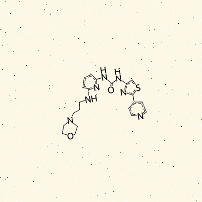 O=C(Nc1cccc(NCCCN2CCOCC2)n1)Nc1csc(-c2ccncc2)n1